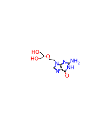 Nc1nc2c(ncn2CCOC(CO)CO)c(=O)[nH]1